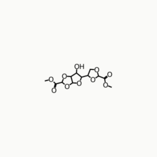 COC(=O)C1OCC(C2OC3OC(C(=O)OC)OC3C2O)O1